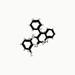 O=c1[nH]c2ccccc2c(-c2ccccc2)c1Oc1cccc(F)c1